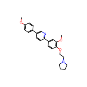 COc1ccc(-c2ccc(-c3ccc(OCCN4CCCC4)c(OC)c3)nc2)cc1